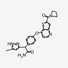 Cc1cc(C(C(N)=O)c2ccc(Oc3ccnc4cc(C(=O)N5CCC5)sc34)cc2)n[nH]1